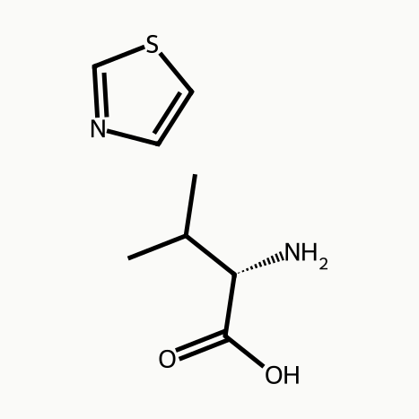 CC(C)[C@H](N)C(=O)O.c1cscn1